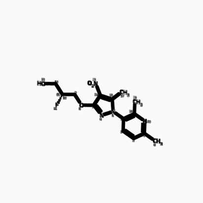 Cc1ccc(-n2nc(OC[C@H](F)CO)c([N+](=O)[O-])c2C)c(C)n1